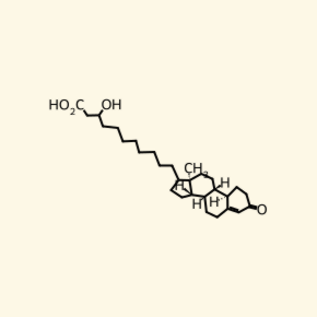 C[C@]12CC[C@H]3[C@@H](CCC4=CC(=O)CC[C@@H]43)[C@@H]1CCC2CCCCCCCCC(O)CC(=O)O